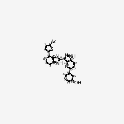 CC(=O)c1ccc(-c2nccc3[nH]c(-c4n[nH]c5ccc(-c6cncc(O)c6)nc45)nc23)s1